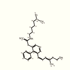 C=C(Cc1cncc(/C=C\C=C(/C)CCO)c1-c1ccccc1)NCCCCCP(C)CC